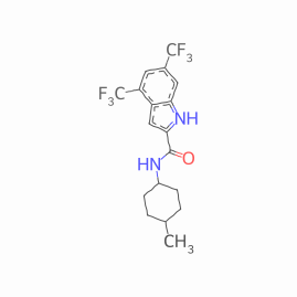 CC1CCC(NC(=O)c2cc3c(C(F)(F)F)cc(C(F)(F)F)cc3[nH]2)CC1